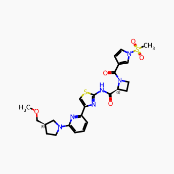 COC[C@@H]1CCN(c2cccc(-c3csc(NC(=O)[C@@H]4CCN4C(=O)c4ccn(S(C)(=O)=O)c4)n3)n2)C1